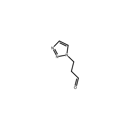 O=CCCn1ccnn1